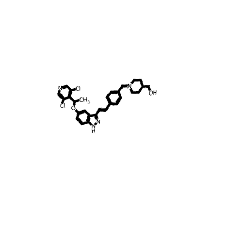 CC(Oc1ccc2[nH]nc(/C=C/c3ccc(CN4CCC(CO)CC4)cc3)c2c1)c1c(Cl)cncc1Cl